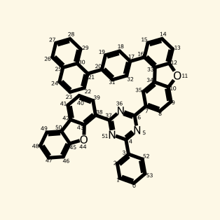 c1ccc(-c2nc(-c3ccc4oc5cccc(-c6ccc(-c7cccc8ccccc78)cc6)c5c4c3)nc(-c3cccc4c3oc3ccccc34)n2)cc1